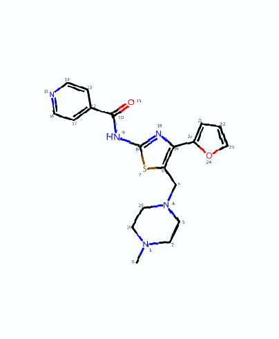 CN1CCN(Cc2sc(NC(=O)c3ccncc3)nc2-c2ccco2)CC1